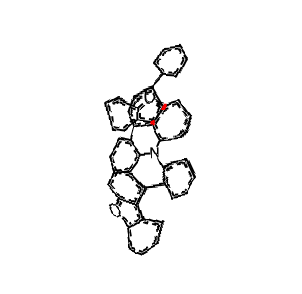 c1ccc(-c2ccc(-c3ccccc3N(c3ccccc3-c3cccc4oc5ccccc5c34)c3cccc4oc5ccccc5c34)cc2)cc1